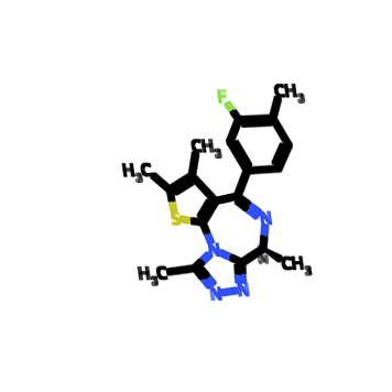 Cc1ccc(C2=N[C@@H](C)c3nnc(C)n3-c3sc(C)c(C)c32)cc1F